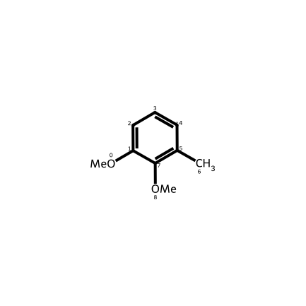 COc1cc[c]c(C)c1OC